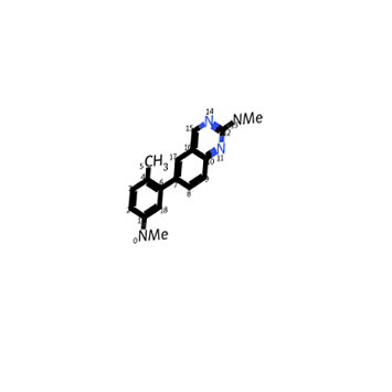 CNc1ccc(C)c(-c2ccc3nc(NC)ncc3c2)c1